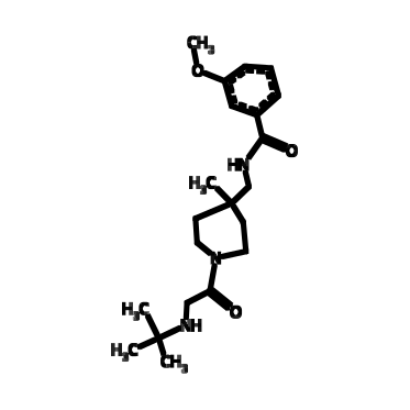 COc1cccc(C(=O)NCC2(C)CCN(C(=O)CNC(C)(C)C)CC2)c1